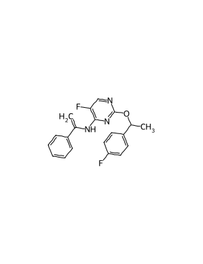 C=C(Nc1nc(OC(C)c2ccc(F)cc2)ncc1F)c1ccccc1